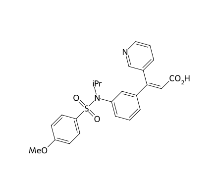 COc1ccc(S(=O)(=O)N(c2cccc(C(=CC(=O)O)c3cccnc3)c2)C(C)C)cc1